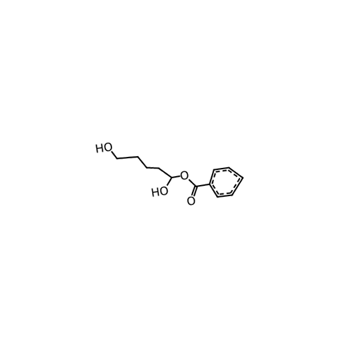 O=C(OC(O)CCCCO)c1ccccc1